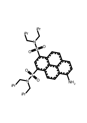 CC(C)CN(CC(C)C)S(=O)(=O)c1cc(S(=O)(=O)N(CC(C)C)CC(C)C)c2ccc3c(N)ccc4ccc1c2c43